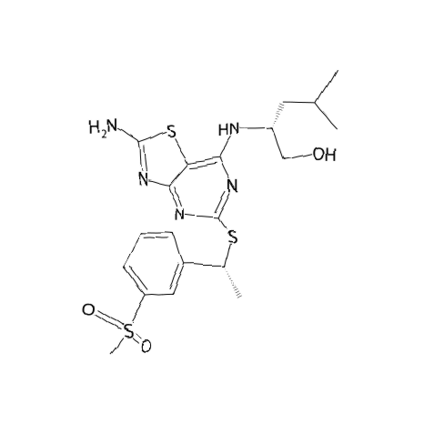 CC(C)C[C@H](CO)Nc1nc(S[C@H](C)c2cccc(S(C)(=O)=O)c2)nc2nc(N)sc12